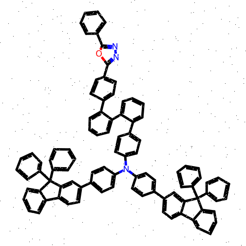 c1ccc(-c2nnc(-c3ccc(-c4ccccc4-c4ccccc4-c4ccc(N(c5ccc(-c6ccc7c(c6)C(c6ccccc6)(c6ccccc6)c6ccccc6-7)cc5)c5ccc(-c6ccc7c(c6)C(c6ccccc6)(c6ccccc6)c6ccccc6-7)cc5)cc4)cc3)o2)cc1